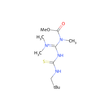 COC(=O)N(C)C(NC(=S)NCC(C)(C)C)=[N+](C)C